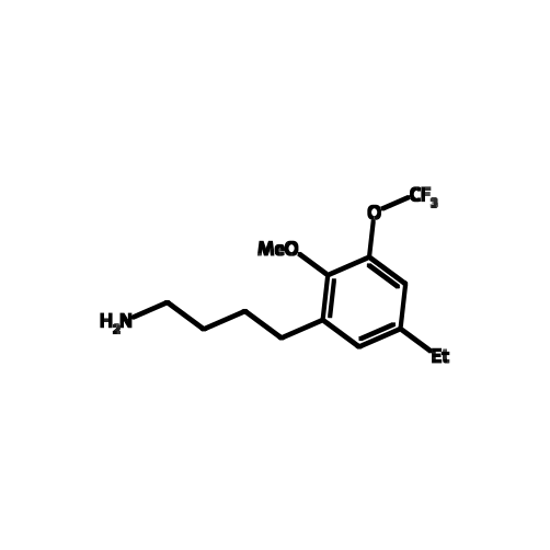 CCc1cc(CCCCN)c(OC)c(OC(F)(F)F)c1